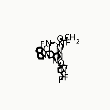 C=C(F)C(=O)N1CCN(c2nc(OCC34CCCN3C(C(F)F)CC4)nc3c2CCN(c2cccc4ccc(F)c(Cl)c24)C3)C[C@@H]1CC#N